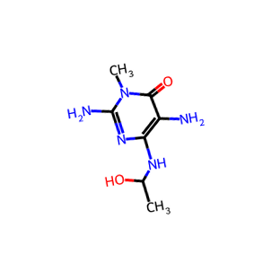 CC(O)Nc1nc(N)n(C)c(=O)c1N